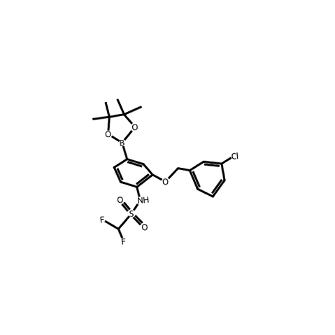 CC1(C)OB(c2ccc(NS(=O)(=O)C(F)F)c(OCc3cccc(Cl)c3)c2)OC1(C)C